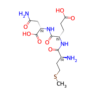 CSCC[C@H](N)C(=O)N[C@@H](CCC(=O)O)C(=O)N[C@@H](CC(N)=O)C(=O)O